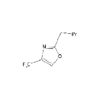 CC(C)Cc1nc(C(F)(F)F)co1